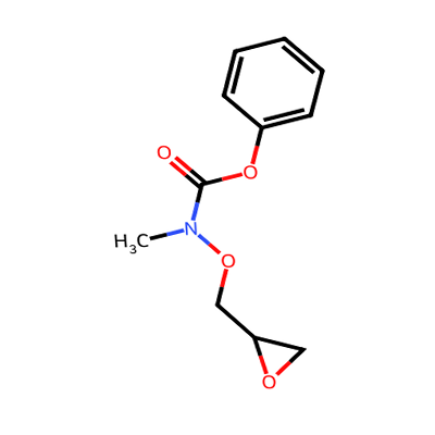 CN(OCC1CO1)C(=O)Oc1ccccc1